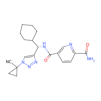 N#CC1(n2cc([C@@H](NC(=O)c3ccc(C(N)=O)nc3)C3CCCCC3)nn2)CC1